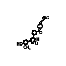 CCOCCN1CCN(C(=O)c2cccc(-c3cc(-c4ccc(O)c(C)c4)nc(=O)[nH]3)c2)CC1